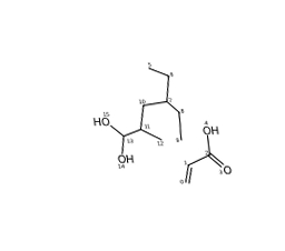 C=CC(=O)O.CCC(CC)CC(C)C(O)O